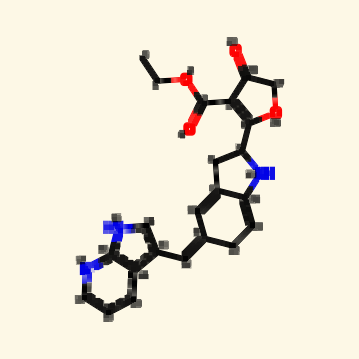 CCOC(=O)C1=C(C2CC3=CC(=Cc4c[nH]c5ncccc45)CC=C3N2)OCC1=O